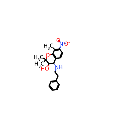 Cc1c([N+](=O)[O-])ccc2c1OC(C)(C)C(O)[C@H]2NCCc1ccccc1